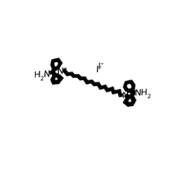 Nc1c2c([n+](CCCCCCCCCCCCCCCCCC[n+]3c4c(c(N)c5ccccc53)CCCC4)c3ccccc13)CCCC2.[I-].[I-]